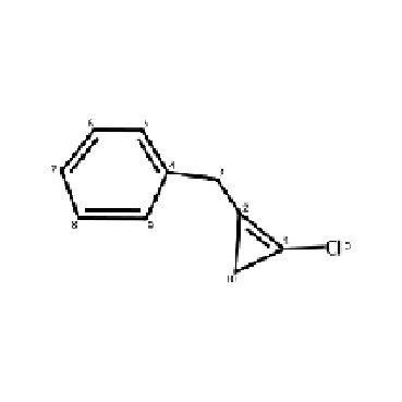 ClC1=C(Cc2ccccc2)C1